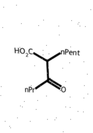 CCCCCC(C(=O)O)C(=O)CCC